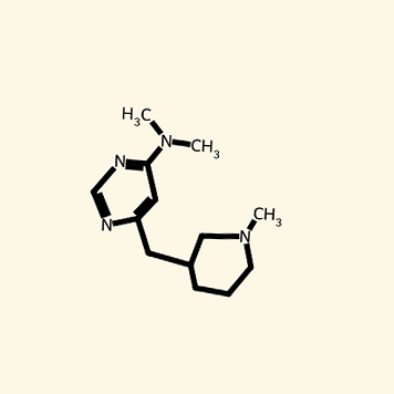 CN1CCCC(Cc2cc(N(C)C)ncn2)C1